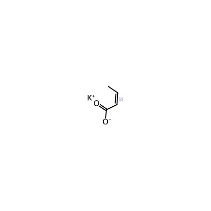 C/C=C\C(=O)[O-].[K+]